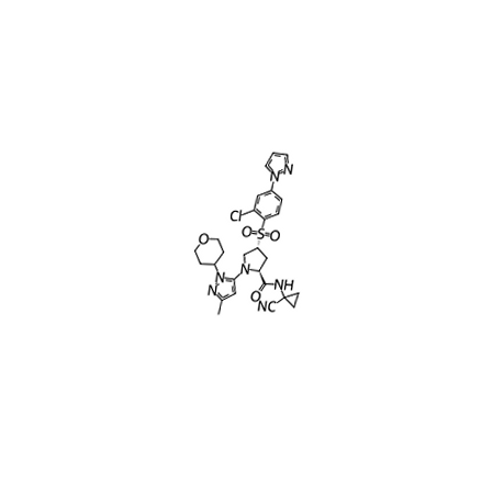 Cc1cc(N2C[C@H](S(=O)(=O)c3ccc(-n4cccn4)cc3Cl)C[C@H]2C(=O)NC2(C#N)CC2)n(C2CCOCC2)n1